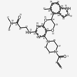 C=CC(=O)N1CCN(c2nc(NCCC(=O)N(C)C)nc3c2OCC(c2c(C)ccc4[nH]ncc24)O3)CC1